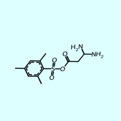 Cc1cc(C)c(S(=O)(=O)OC(=O)CC(N)N)c(C)c1